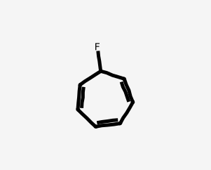 FC1C=CC=CC=C1